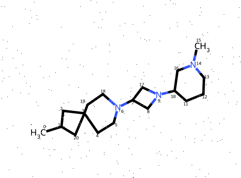 CC1CC2(CCN(C3CN(C4CCCN(C)C4)C3)CC2)C1